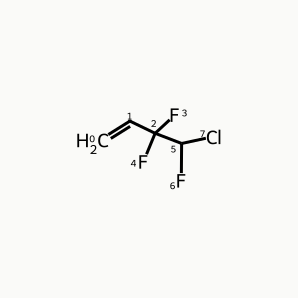 C=CC(F)(F)C(F)Cl